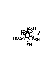 O=S(=O)(O)OC1C(OOO)C(OOO)C(OS(=O)(=O)O)C(OS(=O)(=O)O)C1OS(=O)(=O)O